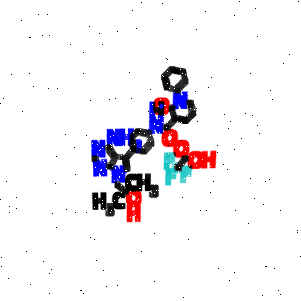 CC(C)(O)Cn1cc(-c2ccc(NC(=O)c3cccn(-c4ccccc4)c3=O)cc2)c2c(N)ncnc21.O=C(O)C(F)(F)F